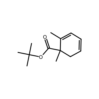 CC1=CC=CCC1(C)C(=O)OC(C)(C)C